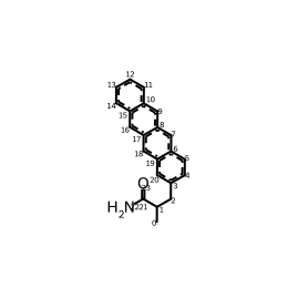 CC(Cc1ccc2cc3cc4ccccc4cc3cc2c1)C(N)=O